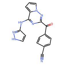 N#Cc1ccc(C(=O)c2nc(Nc3cc[nH]n3)c3cccn3n2)cc1